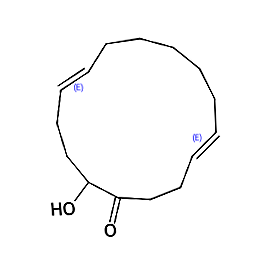 O=C1CC/C=C/CCCCC/C=C/CCC1O